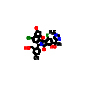 CC[C@](O)(c1cc(F)c2c(c1)C(=O)N(Cc1ccc(C#N)cc1CO)[C@@]2(O[C@H]1CCC(=O)C1)c1ccc(Cl)cc1)c1cn(C)cn1